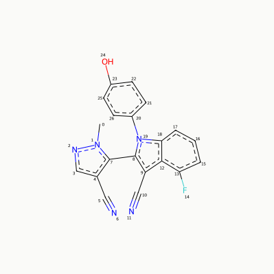 Cn1ncc(C#N)c1-c1c(C#N)c2c(F)cccc2n1-c1ccc(O)cc1